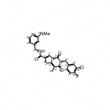 CNc1cc(CNC(=O)c2cn3c(=O)n(Cc4ccc(F)c(Cl)c4)c(=O)c(C)c3s2)ccn1